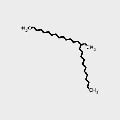 [CH2]CCCCCCCCCCCCCC(CC)CCCCCCCCCCC[CH2]